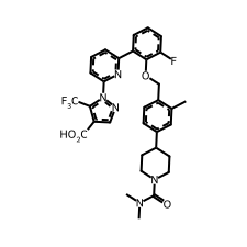 Cc1cc(C2CCN(C(=O)N(C)C)CC2)ccc1COc1c(F)cccc1-c1cccc(-n2ncc(C(=O)O)c2C(F)(F)F)n1